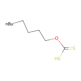 CCCCCCCCOC(=S)S